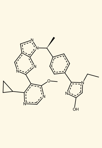 CCn1cc(O)nc1-c1ccc([C@H](C)n2ncc3cnc(-c4c(OC)ncnc4C4CC4)nc32)cc1